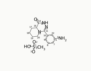 CS(=O)(=O)O.Nc1cccc(C2=NNC(=O)C3CCCCN23)c1